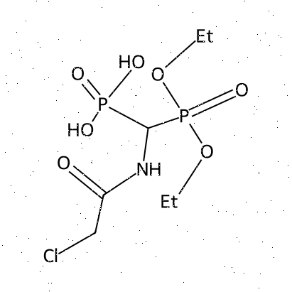 CCOP(=O)(OCC)C(NC(=O)CCl)P(=O)(O)O